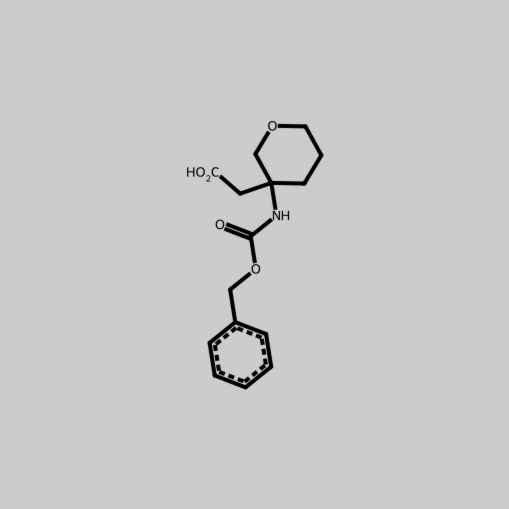 O=C(O)CC1(NC(=O)OCc2ccccc2)CCCOC1